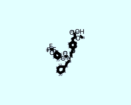 CCOC(Cc1ccc(OCCN(CCCC2CCCCC2)C(=O)Oc2ccc(OC(F)(F)F)cc2)cc1)C(=O)O